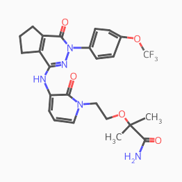 CC(C)(OCCn1cccc(Nc2nn(-c3ccc(OC(F)(F)F)cc3)c(=O)c3c2CCC3)c1=O)C(N)=O